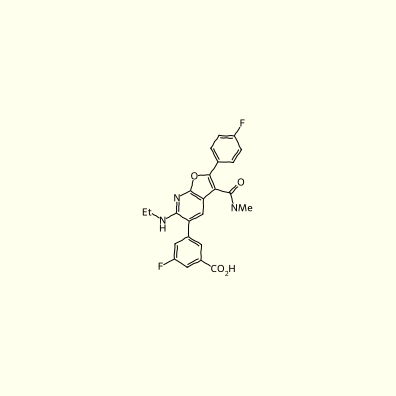 CCNc1nc2oc(-c3ccc(F)cc3)c(C(=O)NC)c2cc1-c1cc(F)cc(C(=O)O)c1